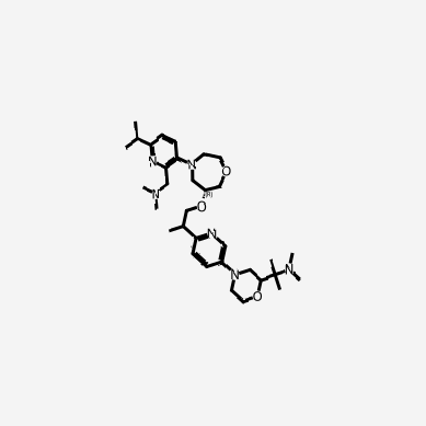 CC(C)c1ccc(N2CCOC[C@H](OCC(C)c3ccc(N4CCOC(C(C)(C)N(C)C)C4)cn3)C2)c(CN(C)C)n1